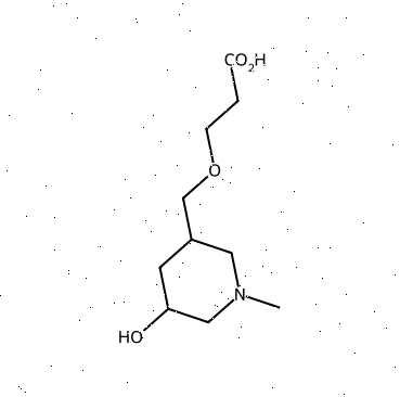 CN1CC(O)CC(COCCC(=O)O)C1